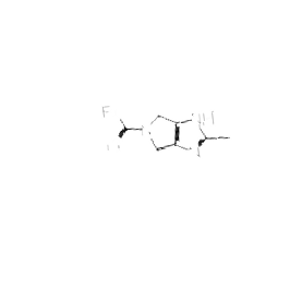 CCC(=O)N1Cc2nc(C)[nH]c2C1